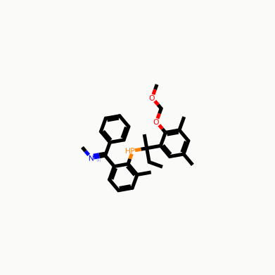 CCC(C)(Pc1c(C)cccc1/C(=N/C)c1ccccc1)c1cc(C)cc(C)c1OCOC